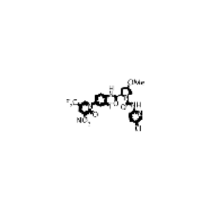 CO[C@@H]1C[C@H](C(=O)Nc2ccc(-n3cc(C(F)(F)F)cc([N+](=O)[O-])c3=O)cc2F)N(C(=O)Nc2ccc(Cl)cn2)C1